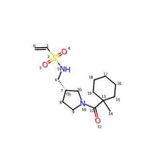 C=CS(=O)(=O)NC[C@H]1CCN(C(=O)C2(C)CCCCC2)C1